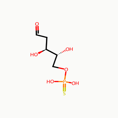 O=CC[C@H](O)[C@H](O)COP(O)(O)=S